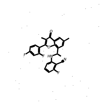 Cc1cc(C(C)Nc2cccc(F)c2C#N)c2oc(-c3ccc(F)cc3F)c(C)c(=O)c2c1